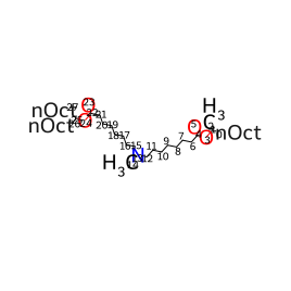 CCCCCCCCC(C)OC(=O)CCCCCCCN(C)CCCCCCCC(=O)OC(CCCCCCCC)CCCCCCCC